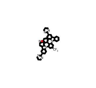 N#Cc1cccc(-c2c(-n3c4ccccc4c4cc(-c5ncccn5)ccc43)cc(C(F)(F)F)cc2-n2c3ccccc3c3cc(-c4ncccn4)ccc32)c1